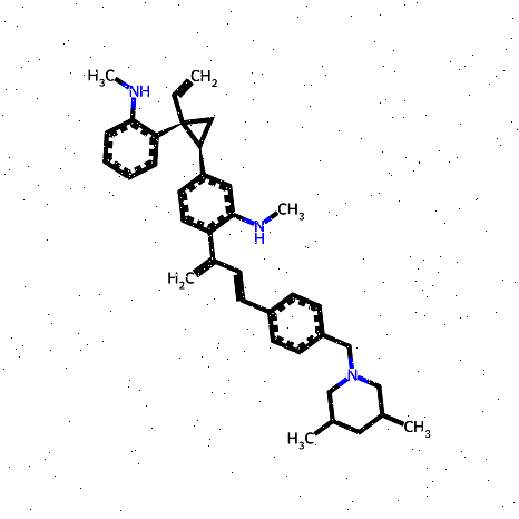 C=C[C@]1(c2ccccc2NC)C[C@H]1c1ccc(C(=C)/C=C/c2ccc(CN3CC(C)CC(C)C3)cc2)c(NC)c1